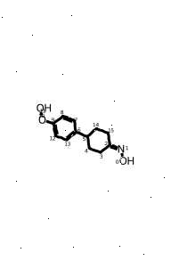 ON=C1CCC(c2ccc(OO)cc2)CC1